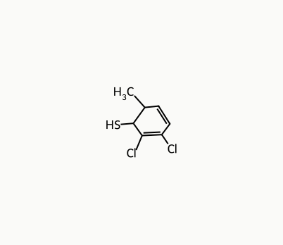 CC1C=CC(Cl)=C(Cl)C1S